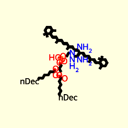 CCCCCCCCCCCCCCCC(=O)OCC(COP(=O)(O)OCCN1C(/C=C(C)/C=C/C=C(C)/C=C/C2=C(C)CCCC2(C)C)=C(N)C(/C=C/C=C(C)/C=C/C2=C(C)CCCC2(C)C)=C(N)C1N)OC(=O)CCCCCCCCCCCCCCC